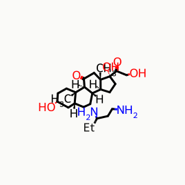 CCC(N)CCN.C[C@]12CC[C@@H](O)C[C@H]1CC[C@@H]1[C@@H]2C(=O)C[C@@]2(C)[C@H]1CC[C@]2(O)C(=O)CO